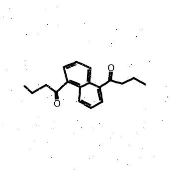 CCCC(=O)c1cccc2c(C(=O)CCC)cc[c]c12